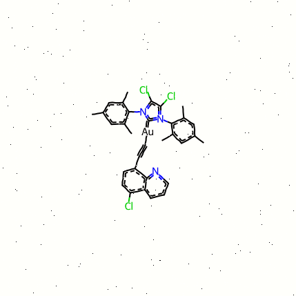 Cc1cc(C)c(-n2c(Cl)c(Cl)n(-c3c(C)cc(C)cc3C)[c]2=[Au][C]#Cc2ccc(Cl)c3cccnc23)c(C)c1